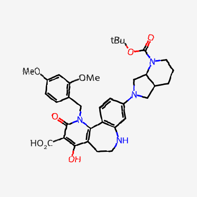 COc1ccc(Cn2c3c(c(O)c(C(=O)O)c2=O)CCNc2cc(N4CC5CCCN(C(=O)OC(C)(C)C)C5C4)ccc2-3)c(OC)c1